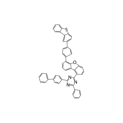 c1ccc(-c2ccc(-c3nc(-c4ccccc4)nc(-c4cccc5oc6c(-c7ccc(-c8ccc9sc%10ccccc%10c9c8)cc7)cccc6c45)n3)cc2)cc1